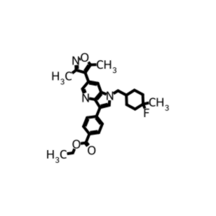 CCOC(=O)c1ccc(-c2cn(CC3CCC(C)(F)CC3)c3cc(-c4c(C)noc4C)cnc23)cc1